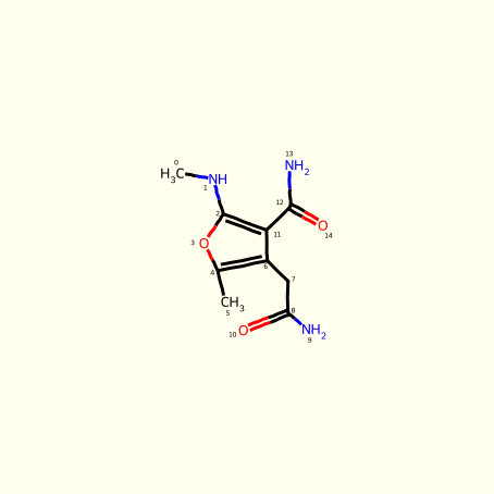 CNc1oc(C)c(CC(N)=O)c1C(N)=O